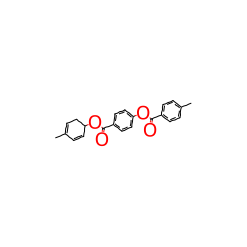 CC1=CCC(OC(=O)c2ccc(OC(=O)c3ccc(C)cc3)cc2)C=C1